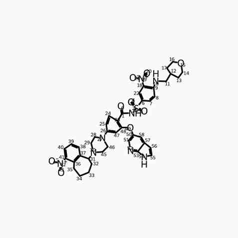 O=C(NS(=O)(=O)c1ccc(NCC2CCOCC2)c([N+](=O)[O-])c1)c1ccc(N2CCN(C3CCCCc4c3cccc4[N+](=O)[O-])CC2)cc1Oc1cnc2[nH]ccc2c1